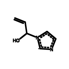 C=CC(O)n1[c]ncc1